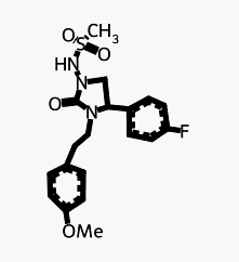 COc1ccc(CCN2C(=O)N(NS(C)(=O)=O)CC2c2ccc(F)cc2)cc1